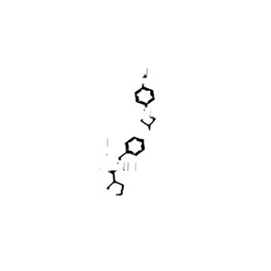 CCOc1ccc(N2CC(Oc3ccc([C@H](C)NC(=O)C4CCOC4)cc3)C2)cc1